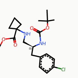 COC(=O)C1(NC[C@H](Cc2ccc(Cl)cc2)NC(=O)OC(C)(C)C)CCC1